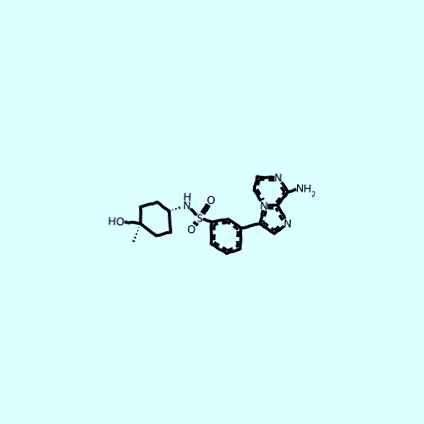 C[C@]1(O)CC[C@H](NS(=O)(=O)c2cccc(-c3cnc4c(N)nccn34)c2)CC1